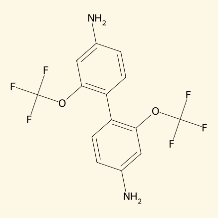 Nc1ccc(-c2ccc(N)cc2OC(F)(F)F)c(OC(F)(F)F)c1